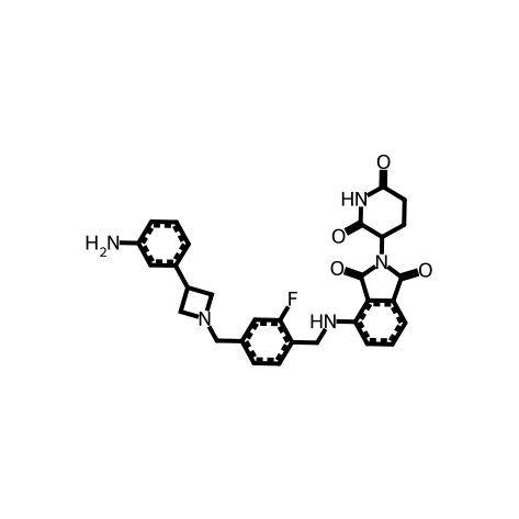 Nc1cccc(C2CN(Cc3ccc(CNc4cccc5c4C(=O)N(C4CCC(=O)NC4=O)C5=O)c(F)c3)C2)c1